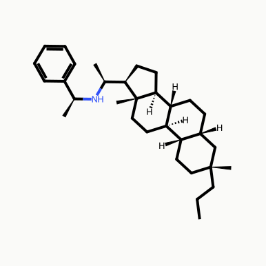 CCC[C@]1(C)CC[C@H]2[C@H](CC[C@@H]3[C@@H]2CC[C@]2(C)[C@@H]([C@H](C)N[C@@H](C)c4ccccc4)CC[C@@H]32)C1